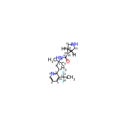 CC(C)(CCc1ncccc1C(C)(F)F)NC(=O)[C@H]1[C@@H]2CNC[C@@H]21